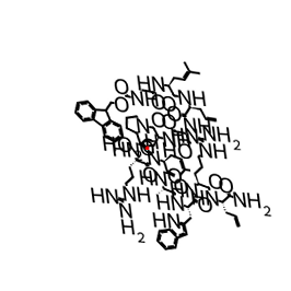 C=CC[C@H](NC(=O)[C@H](CCCNC(=N)N)NC(=O)[C@H](Cc1cc2ccccc2[nH]1)NC(=O)[C@H](C)NC(=O)[C@H](CC=C(C)C)NC(=O)[C@H](CCCNC(=N)N)NC(=O)C1CCCN1C(=O)[C@H](CC(=O)O)NC(=O)[C@H](CO)NC(=O)[C@H](CC=C)NC(=O)[C@H](CC=C(C)C)NC(=O)CNC(=O)OCC1c2ccccc2-c2ccccc21)C(N)=O